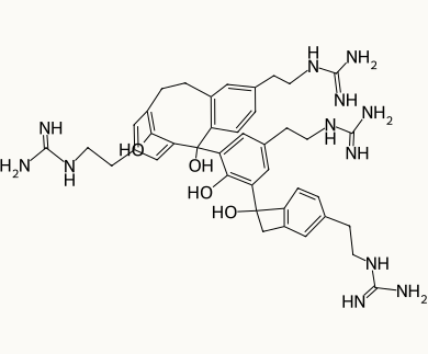 N=C(N)NCCc1ccc2c(c1)CC2(O)c1cc(CCNC(=N)N)cc(C2(O)c3ccc(CCNC(=N)N)cc3CCc3cc(CCNC(=N)N)cc2c3O)c1O